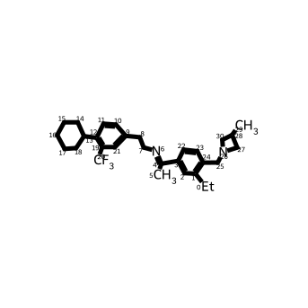 CCc1cc(/C(C)=N/CCc2ccc(C3CCCCC3)c(C(F)(F)F)c2)ccc1CN1CC(C)C1